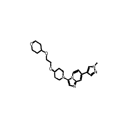 Cn1cc(-c2ccn3c(N4CCC(OCCOC5CCOCC5)CC4)cnc3c2)cn1